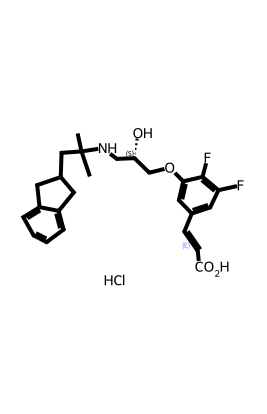 CC(C)(CC1Cc2ccccc2C1)NC[C@H](O)COc1cc(/C=C/C(=O)O)cc(F)c1F.Cl